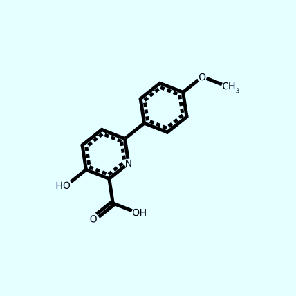 COc1ccc(-c2ccc(O)c(C(=O)O)n2)cc1